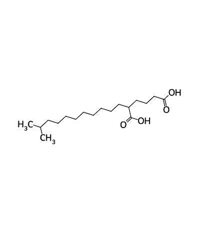 CC(C)CCCCCCCCCC(CCCC(=O)O)C(=O)O